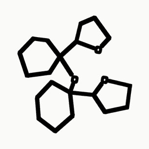 C1CCC(OC2(C3CCCO3)CCCCC2)(C2CCCO2)CC1